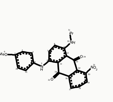 COc1ccc(Nc2ccc(NC(C)C)c3c2C(=O)c2cccc([N+](=O)[O-])c2C3=O)cc1